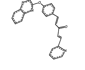 O=C(C=Cc1ccc(Oc2cnc3ccccc3n2)cc1)C=Cc1ccccn1